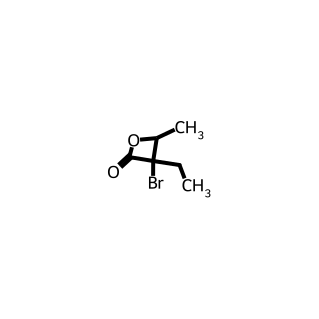 CCC1(Br)C(=O)OC1C